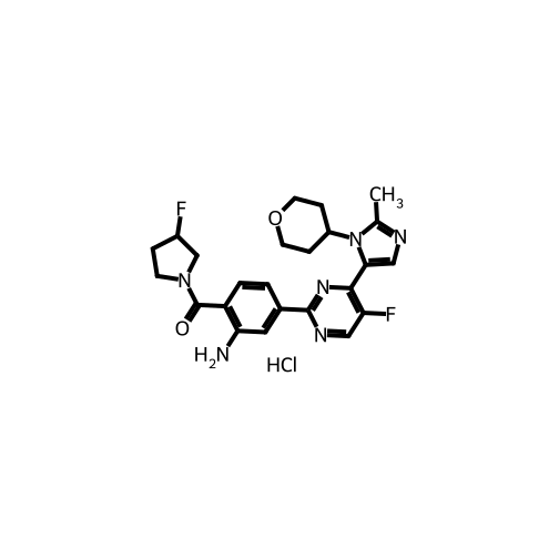 Cc1ncc(-c2nc(-c3ccc(C(=O)N4CCC(F)C4)c(N)c3)ncc2F)n1C1CCOCC1.Cl